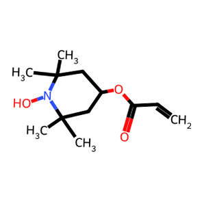 C=CC(=O)OC1CC(C)(C)N(O)C(C)(C)C1